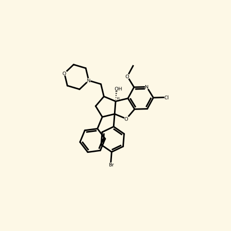 COc1nc(Cl)cc2c1[C@]1(O)C(CN3CCOCC3)CC(c3ccccc3)C1(c1ccc(Br)cc1)O2